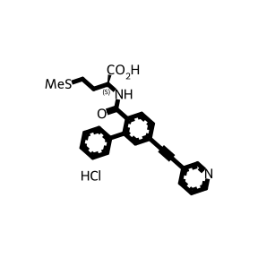 CSCC[C@H](NC(=O)c1ccc(C#Cc2cccnc2)cc1-c1ccccc1)C(=O)O.Cl